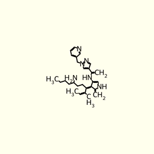 C=C(Nc1c[nH]c(=C)/c1=C(CCC(N)CCCC)\C(C)=C/C)c1cnn(Cc2cccnc2)c1